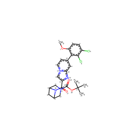 COc1ccc(Cl)c(Cl)c1-c1ccn2cc(C(=O)N3C4CC3CN(C(=O)OC(C)(C)C)C4)nc2c1